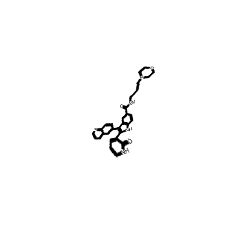 O=C(NCCCN1CCOCC1)c1ccc2[nH]c(-c3ccc[nH]c3=O)c(-c3ccc4ncccc4c3)c2c1